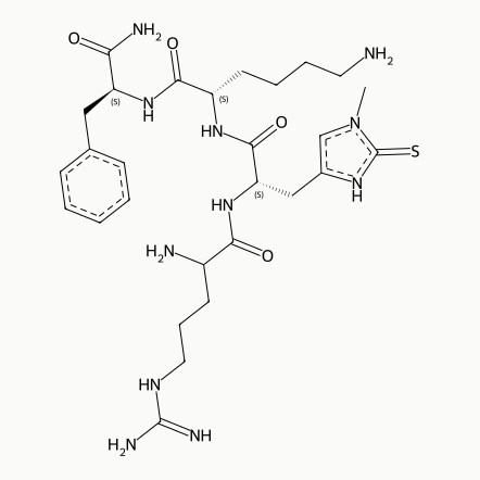 Cn1cc(C[C@H](NC(=O)C(N)CCCNC(=N)N)C(=O)N[C@@H](CCCCN)C(=O)N[C@@H](Cc2ccccc2)C(N)=O)[nH]c1=S